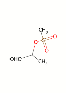 CC([C]=O)OS(C)(=O)=O